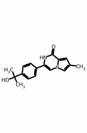 Cc1cc2c(=O)[nH]c(-c3ccc(C(C)(C)O)cc3)cn2c1